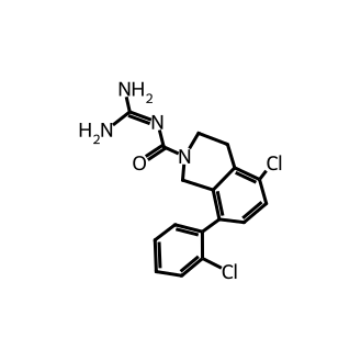 NC(N)=NC(=O)N1CCc2c(Cl)ccc(-c3ccccc3Cl)c2C1